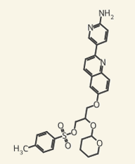 Cc1ccc(S(=O)(=O)OCC(COc2ccc3nc(-c4ccc(N)nc4)ccc3c2)OC2CCCCO2)cc1